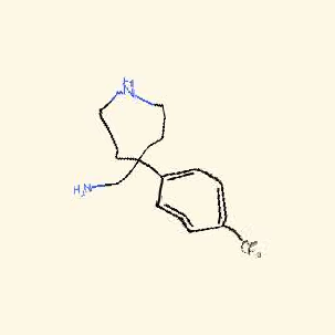 NCC1(c2ccc(C(F)(F)F)cc2)CCNCC1